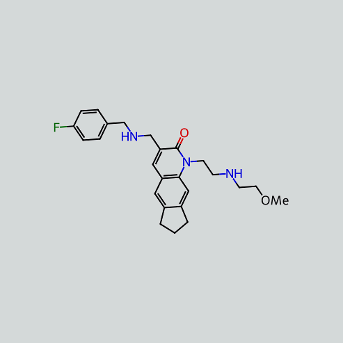 COCCNCCn1c(=O)c(CNCc2ccc(F)cc2)cc2cc3c(cc21)CCC3